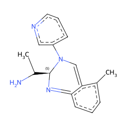 Cc1cccc2c1=CN(c1cccnc1)[C@H](C(C)N)N=2